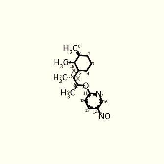 C=C1CCC[C@@H]([C@@H](C)[C@H](C)Oc2ccc(N=O)cn2)C1C